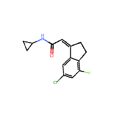 O=C(/C=C1/CCc2c(F)cc(Cl)cc21)NC1CC1